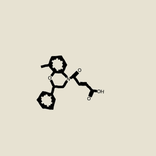 Cc1cccc2c1OC(c1ccccc1)CN2C(=O)C=CC(=O)O